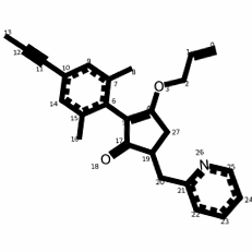 C=CCOC1=C(c2c(C)cc(C#CC)cc2C)C(=O)C(Cc2ccccn2)C1